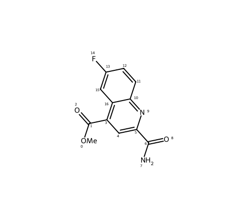 COC(=O)c1cc(C(N)=O)nc2ccc(F)cc12